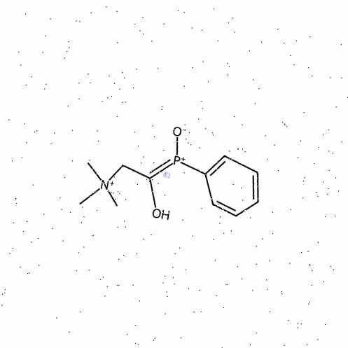 C[N+](C)(C)C/C(O)=[P+](\[O-])c1ccccc1